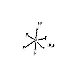 F[P-](F)(F)(F)(F)F.[Au].[H+]